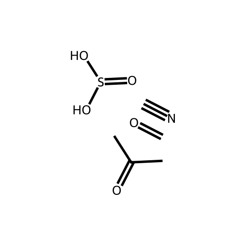 C#N.C=O.CC(C)=O.O=S(O)O